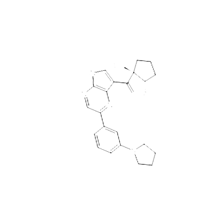 C[C@H]1CCC[C@@]1(C)C(=O)c1c[nH]c2ncc(-c3cccc(N4CCCC4)c3)nc12